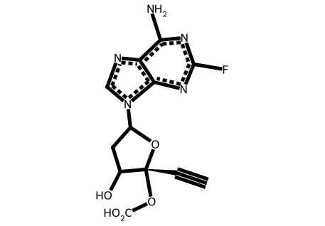 C#C[C@]1(OC(=O)O)OC(n2cnc3c(N)nc(F)nc32)CC1O